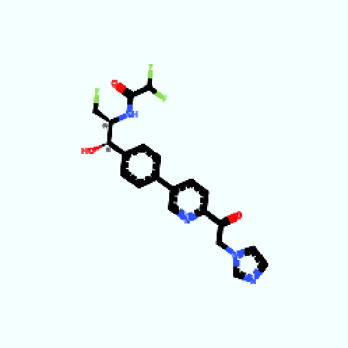 O=C(Cn1ccnc1)c1ccc(-c2ccc([C@H](O)[C@@H](CF)NC(=O)C(F)F)cc2)cn1